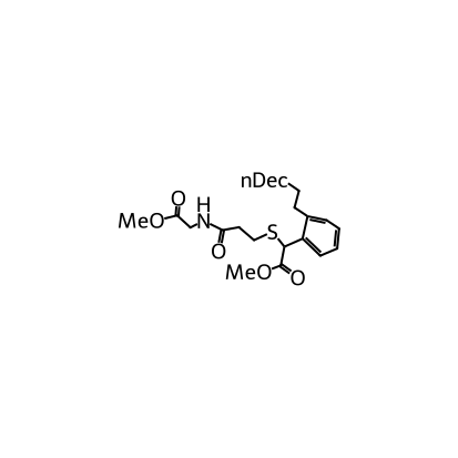 CCCCCCCCCCCCc1ccccc1C(SCCC(=O)NCC(=O)OC)C(=O)OC